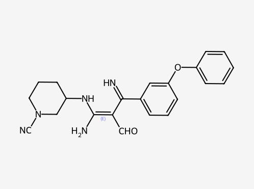 N#CN1CCCC(N/C(N)=C(/C=O)C(=N)c2cccc(Oc3ccccc3)c2)C1